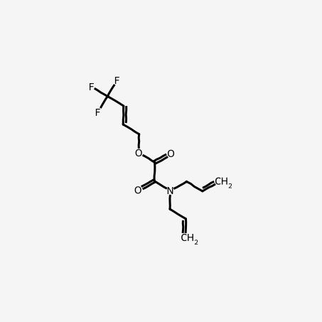 C=CCN(CC=C)C(=O)C(=O)OC/C=C/C(F)(F)F